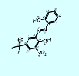 CCC(C)(C)c1cc(N=Nc2ccccc2O)c(O)c([N+](=O)[O-])c1